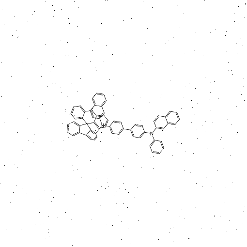 c1ccc(N(c2ccc(-c3ccc(N(c4ccc5ccccc5c4)c4cccc5c4C4(c6ccccc6Sc6ccccc64)c4ccccc4-5)cc3)cc2)c2ccc3ccccc3c2)cc1